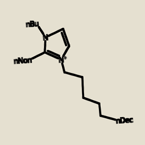 CCCCCCCCCCCCCCC[n+]1ccn(CCCC)c1CCCCCCCCC